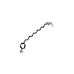 NCCCCCCCCCCCc1ccc(Br)cc1